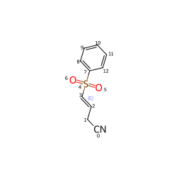 N#CC/C=C/S(=O)(=O)c1ccccc1